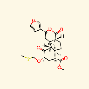 COC(=O)[C@@H]1C[C@H](OCSC)C(=O)[C@H]2[C@@]1(C)CC[C@H]1C(=O)O[C@@H](c3ccoc3)C[C@]21C